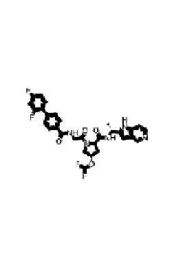 C[C@@H](NC(=O)C1C[C@@H](OC(F)F)CN1C(=O)CNC(=O)c1ccc(-c2ccc(F)cc2F)cc1)c1cc2cnccc2[nH]1